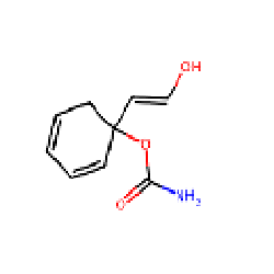 NC(=O)OC1(C=CO)C=CC=CC1